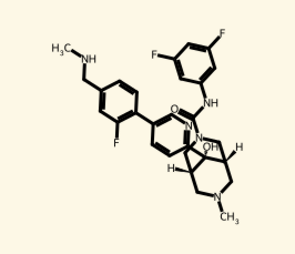 CNCc1ccc(-c2ccc([C@]3(O)[C@@H]4CN(C)C[C@H]3CN(C(=O)Nc3cc(F)cc(F)c3)C4)nc2)c(F)c1